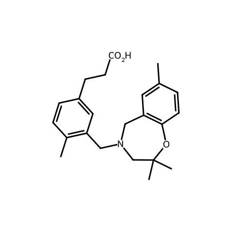 Cc1ccc2c(c1)CN(Cc1cc(CCC(=O)O)ccc1C)CC(C)(C)O2